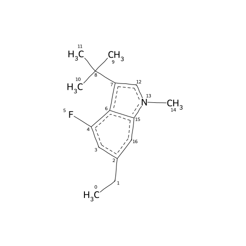 CCc1cc(F)c2c(C(C)(C)C)cn(C)c2c1